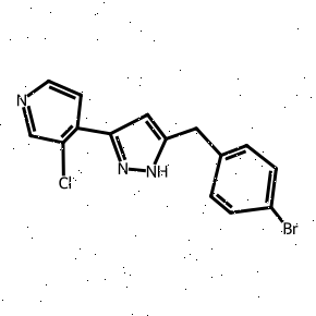 Clc1cnccc1-c1cc(Cc2ccc(Br)cc2)[nH]n1